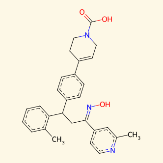 Cc1cc(C(CC(c2ccc(C3=CCN(C(=O)O)CC3)cc2)c2ccccc2C)=NO)ccn1